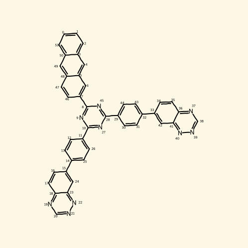 c1ccc2cc3cc(-c4nc(-c5ccc(-c6ccc7ncnnc7c6)cc5)nc(-c5ccc(-c6ccc7ncnnc7c6)cc5)n4)ccc3cc2c1